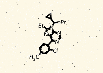 CCCC(C1CC1)n1c(CC)nc2c(-c3ccc(C)cc3Cl)ncnc21